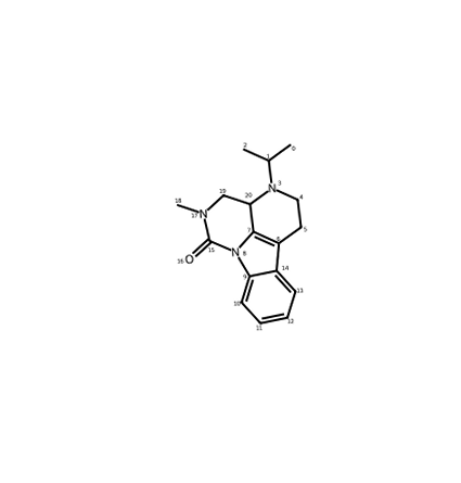 CC(C)N1CCc2c3n(c4ccccc24)C(=O)N(C)CC31